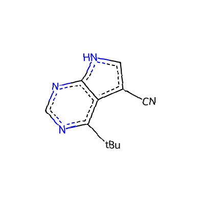 CC(C)(C)c1ncnc2[nH]cc(C#N)c12